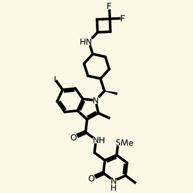 CSc1cc(C)[nH]c(=O)c1CNC(=O)c1c(C)n([C@H](C)C2CCC(NC3CC(F)(F)C3)CC2)c2cc(I)ccc12